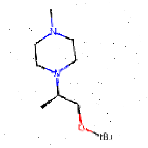 C[C@H](COC(C)(C)C)N1CCN(C)CC1